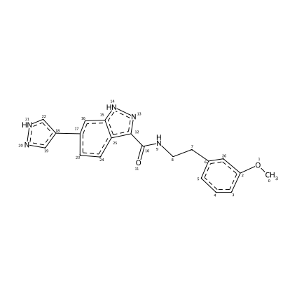 COc1cccc(CCNC(=O)c2n[nH]c3cc(-c4cn[nH]c4)ccc23)c1